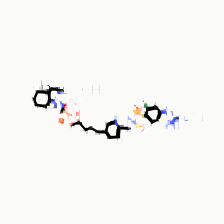 CCCCC1NSc2cc(S(=O)(=O)NCc3ccc(CCCCCP(=O)(O)CC(=O)N4[C@@H]5CCCC[C@@H]5C[C@H]4C(=O)O)cc3)c(Cl)cc2N1